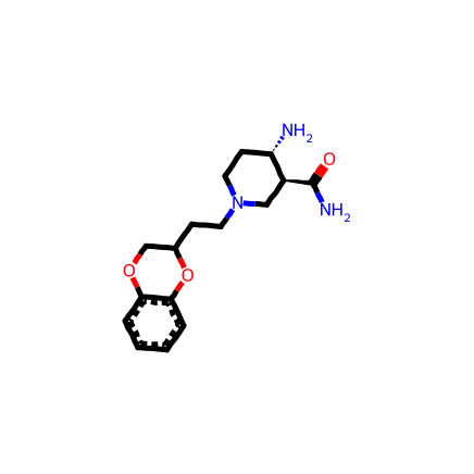 NC(=O)[C@H]1CN(CCC2COc3ccccc3O2)CC[C@@H]1N